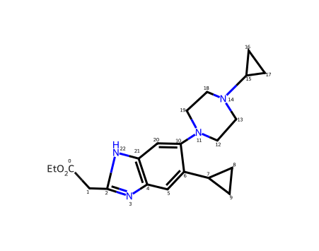 CCOC(=O)Cc1nc2cc(C3CC3)c(N3CCN(C4CC4)CC3)cc2[nH]1